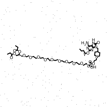 CCC[C@H](C)Oc1nc(N)c2[nH]c(=O)n(CC3CCN(CCOP(=O)(O)OCCOCCOCCOCCOCCOCCOCCOCCOCCOC[C@@H](COC(=O)CC)OC(=O)CC)CC3)c2n1